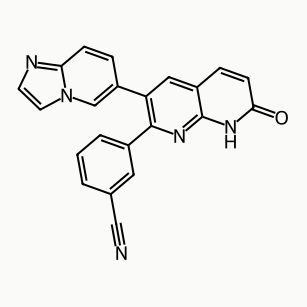 N#Cc1cccc(-c2nc3[nH]c(=O)ccc3cc2-c2ccc3nccn3c2)c1